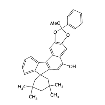 COC1(c2ccccc2)Oc2cc3c(O)cc4c(c3cc2O1)-c1ccccc1C41CC(C)(C)CC(C)(C)C1